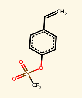 C=Cc1ccc(OS(=O)(=O)C(F)(F)F)cc1